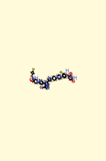 CCC1(C(=O)NCC2CC(F)C2)CCN(c2ccc(-c3nc(-c4cnn(C5CCC(N6CCN(c7ccc(NC8CCC(=O)NC8=O)cc7F)CC6)CC5)c4)cn4ncc(C#N)c34)cn2)CC1